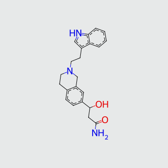 NC(=O)CC(O)c1ccc2c(c1)CN(CCc1c[nH]c3ccccc13)CC2